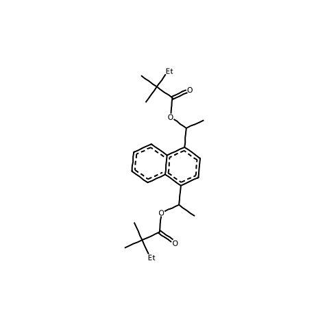 CCC(C)(C)C(=O)OC(C)c1ccc(C(C)OC(=O)C(C)(C)CC)c2ccccc12